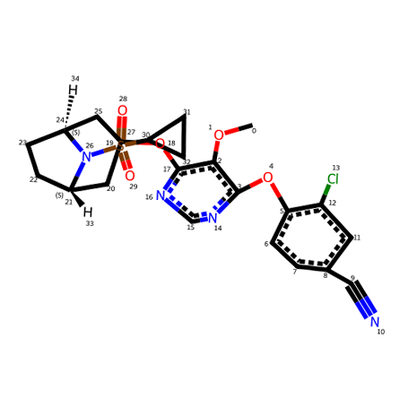 COc1c(Oc2ccc(C#N)cc2Cl)ncnc1OC1C[C@@H]2CC[C@@H](C1)N2S(=O)(=O)C1CC1